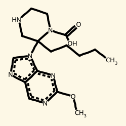 CCCCCC1(n2cnc3cnc(OC)nc32)CNCCN1C(=O)O